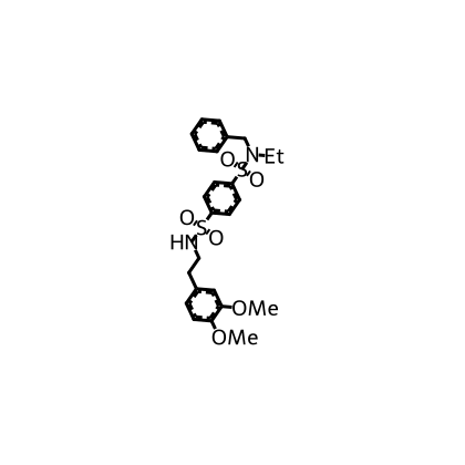 CCN(Cc1ccccc1)S(=O)(=O)c1ccc(S(=O)(=O)NCCc2ccc(OC)c(OC)c2)cc1